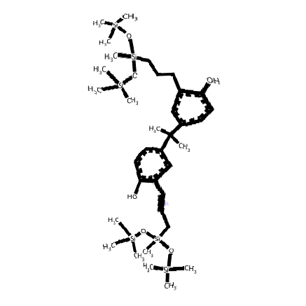 CC(C)(c1ccc(O)c(/C=C/C[Si](C)(O[Si](C)(C)C)O[Si](C)(C)C)c1)c1ccc(O)c(CCC[Si](C)(O[Si](C)(C)C)O[Si](C)(C)C)c1